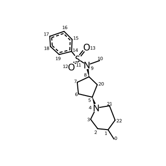 CC1CCN([C@H]2CC[C@@H](N(C)S(=O)(=O)c3ccccc3)C2)CC1